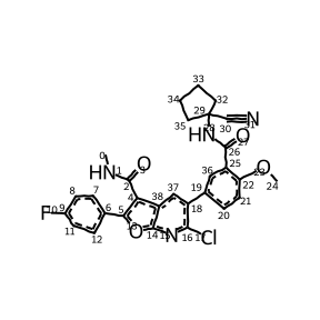 CNC(=O)c1c(-c2ccc(F)cc2)oc2nc(Cl)c(-c3ccc(OC)c(C(=O)NC4(C#N)CCCC4)c3)cc12